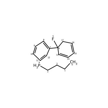 CCCCP.FC1(c2ccccc2)C=CC=CC1